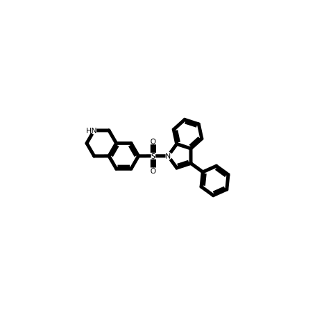 O=S(=O)(c1ccc2c(c1)CNCC2)n1cc(-c2ccccc2)c2ccccc21